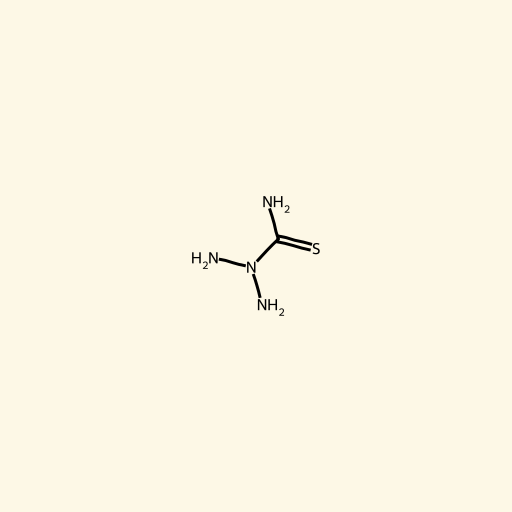 NC(=S)N(N)N